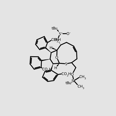 CC(C)(C)[S@@+]([O-])N[C@@H]1C/C=C\CC(CO[Si](C)(C)C(C)(C)C)S[C@H]2O[C@@H]1[C@H](c1ccccc1C(=O)O)[C@H](c1ccccc1C(=O)O)[C@@H]2c1ccccc1C(=O)O